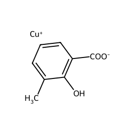 Cc1cccc(C(=O)[O-])c1O.[Cu+]